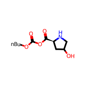 CCCCOC(=O)OC(=O)[C@@H]1CC(O)CN1